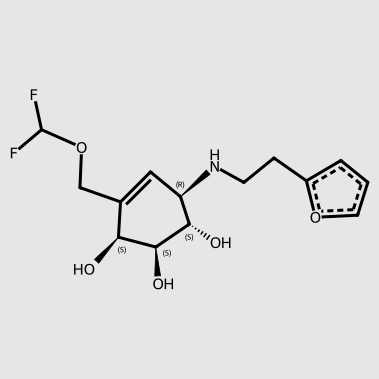 O[C@@H]1[C@@H](O)[C@@H](O)C(COC(F)F)=C[C@H]1NCCc1ccco1